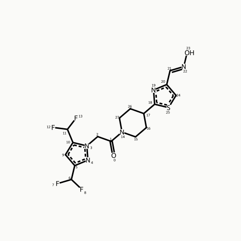 O=C(Cn1nc(C(F)F)cc1C(F)F)N1CCC(c2nc(/C=N/O)cs2)CC1